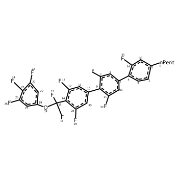 CCCCCc1ccc(-c2cc(C)c(-c3cc(F)c(C(F)(F)Oc4cc(F)c(F)c(F)c4)c(F)c3)c(F)c2)c(F)c1